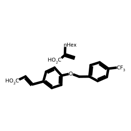 C=C(CCCCCC)C(=O)O.O=C(O)C=Cc1ccc(OCc2ccc(C(F)(F)F)cc2)cc1